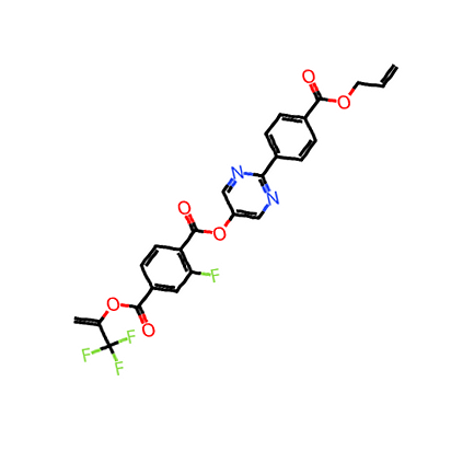 C=CCOC(=O)c1ccc(-c2ncc(OC(=O)c3ccc(C(=O)OC(=C)C(F)(F)F)cc3F)cn2)cc1